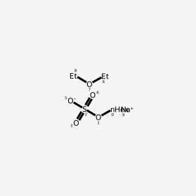 CCCCCCOS(=O)(=O)[O-].CCOCC.[Na+]